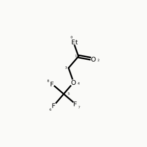 CCC(=O)COC(F)(F)F